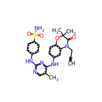 C#CCN1C(=O)C(C)(C)Oc2ccc(Nc3nc(Nc4ccc(S(N)(=O)=O)cc4)ncc3C)cc21